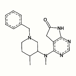 CC1CCN(Cc2ccccc2)CC1N(C)c1ncnc2c1CC(=O)N2